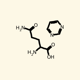 NC(=O)CCC(N)C(=O)O.c1cncnc1